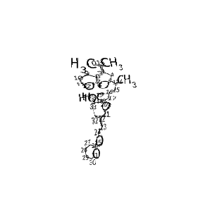 CC(C)=CCC(OC1CCCCO1)C(C)CCC[C@]1(C)OCC(=CCOC2CCCCO2)CC[C@H]1O